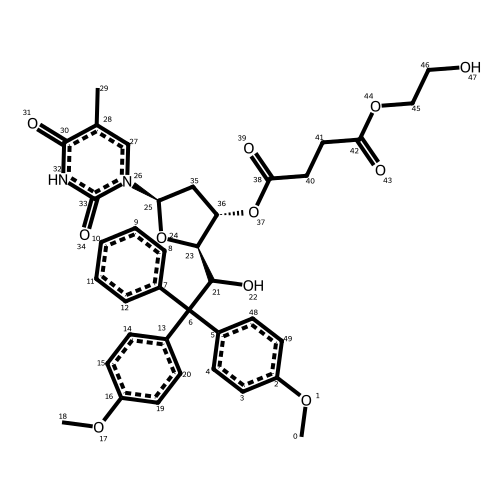 COc1ccc(C(c2ccccc2)(c2ccc(OC)cc2)C(O)[C@H]2O[C@@H](n3cc(C)c(=O)[nH]c3=O)C[C@@H]2OC(=O)CCC(=O)OCCO)cc1